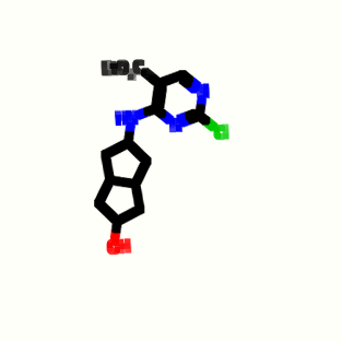 CCOC(=O)c1cnc(Cl)nc1NC1CC2CC(O)CC2C1